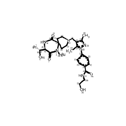 CCCCN1C(=O)[C@@H]([C@H](O)C(C)C)NC(=O)C12CCN(Cc1c(C)nn(-c3ccc(C(=O)NCCO)cc3)c1C)CC2